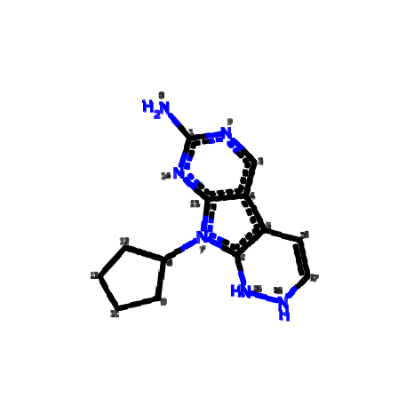 Nc1ncc2c3c(n(C4CCCC4)c2n1)NNC=C3